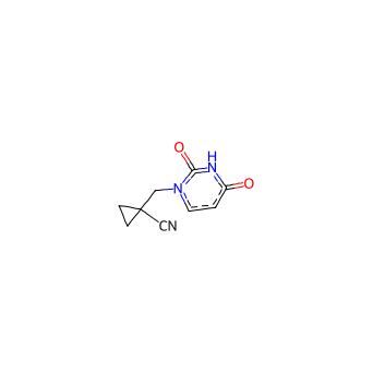 N#CC1(Cn2ccc(=O)[nH]c2=O)CC1